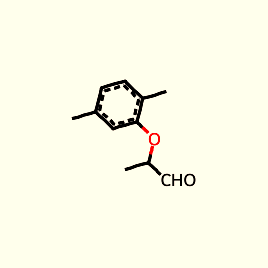 Cc1ccc(C)c(OC(C)C=O)c1